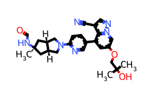 CC(C)(O)COc1cc(-c2ccc(N3C[C@@H]4C[C@@](C)(NC=O)C[C@@H]4C3)nc2)c2c(C#N)cnn2c1